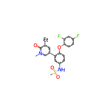 CCc1cc(-c2cc(NS(C)(=O)=O)ccc2Oc2ccc(F)cc2F)cn(C)c1=O